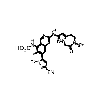 CCn1nc(C#N)cc1-c1cc2cc(Nc3cc4n(n3)CC(=O)N(C(C)C)CC4)ncc2c(NC(=O)O)c1F